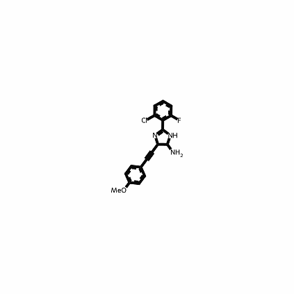 COc1ccc(C#CC2N=C(c3c(F)cccc3Cl)NC2N)cc1